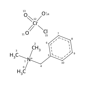 C[N+](C)(C)Cc1ccccc1.[O]=[Cr](=[O])([O-])[Cl]